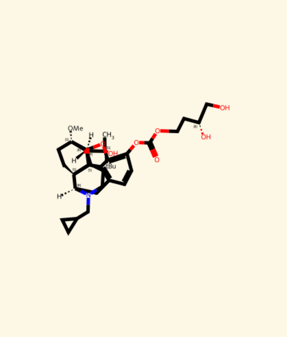 CO[C@@]12CC[C@@]3(C[C@@H]1[C@](C)(O)C(C)(C)C)[C@H]1Cc4ccc(OC(=O)OCC[C@@H](O)CO)c5c4[C@@]3(CCN1CC1CC1)[C@H]2O5